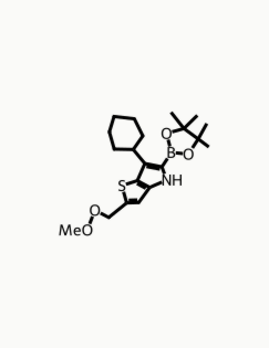 COOCc1cc2[nH]c(B3OC(C)(C)C(C)(C)O3)c(C3CCCCC3)c2s1